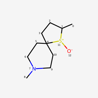 CC1CCC2(CCN(C)CC2)[S+]1[O-]